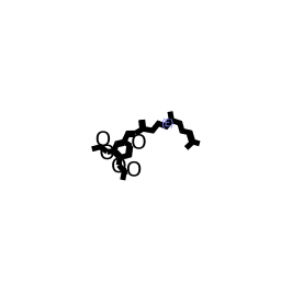 C=C(CC/C=C(\C)CCC=C(C)C)c1cc2cc(OC(C)=O)c(OC(C)=O)cc2o1